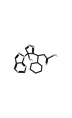 NC(=O)CC(C1=NN=CC1(N)n1ncc2cncnc21)C1CCCCC1